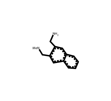 CNCc1cc2ccccc2cc1CN